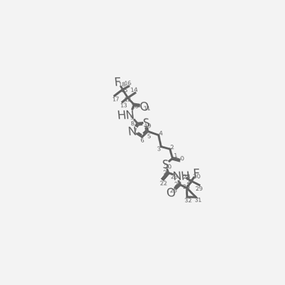 C=C(CCCc1cnc(NC(=O)C(C)(C)C(C)(C)F)s1)SC(=C)NC(=O)C1(C(C)(C)F)CC1